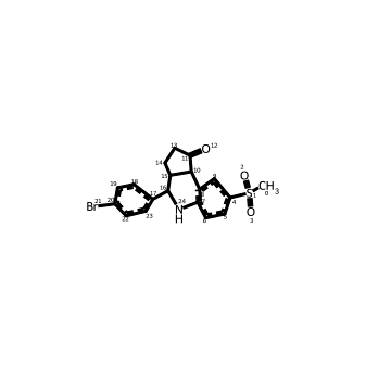 CS(=O)(=O)c1ccc2c(c1)C1C(=O)CCC1C(c1ccc(Br)cc1)N2